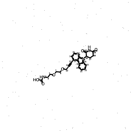 O=C(O)NCCOCCOCC#Cc1ccnc2c1c1ccccc1n2C1CCC(=O)NC1=O